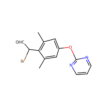 Cc1cc(Oc2ncccn2)cc(C)c1C(Br)C=O